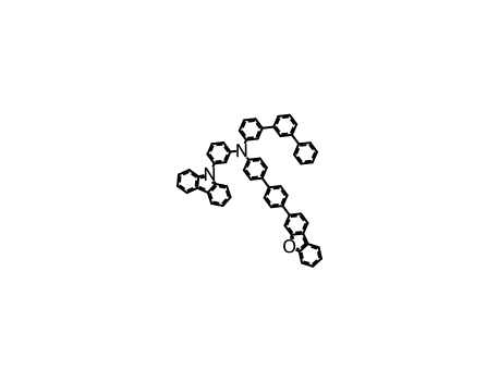 c1ccc(-c2cccc(-c3cccc(N(c4ccc(-c5ccc(-c6ccc7c(c6)oc6ccccc67)cc5)cc4)c4cccc(-n5c6ccccc6c6ccccc65)c4)c3)c2)cc1